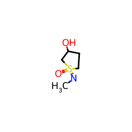 CN=S1(=O)CCC(O)C1